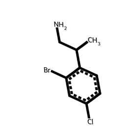 CC(CN)c1ccc(Cl)cc1Br